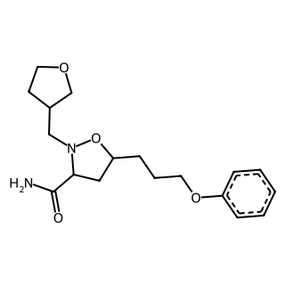 NC(=O)C1CC(CCCOc2ccccc2)ON1CC1CCOC1